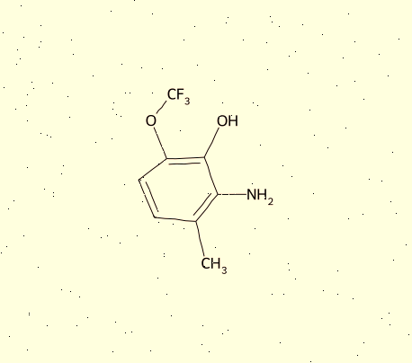 Cc1ccc(OC(F)(F)F)c(O)c1N